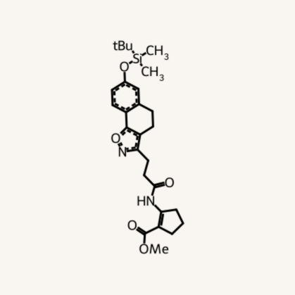 COC(=O)C1=C(NC(=O)CCc2noc3c2CCc2cc(O[Si](C)(C)C(C)(C)C)ccc2-3)CCC1